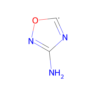 Nc1n[c]on1